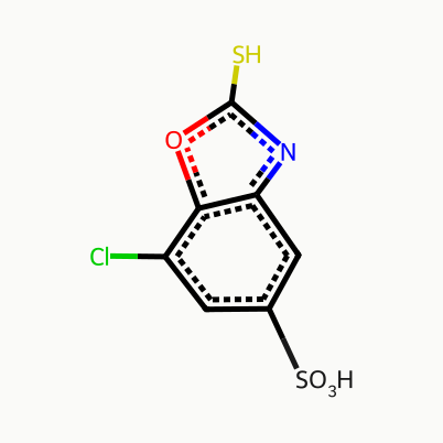 O=S(=O)(O)c1cc(Cl)c2oc(S)nc2c1